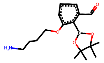 CC1(C)OB(c2c(C=O)cccc2OCCCCN)OC1(C)C